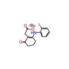 CC(C)(C)OC(=O)CC1=C(Nc2ccccc2I)CCCC1=O